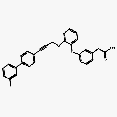 O=C(O)Cc1cccc(Oc2ccccc2OCC#Cc2ccc(-c3cccc(F)c3)cc2)c1